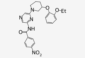 CCOc1ccccc1OC1CCCN(c2cncc(NC(=O)c3ccc([N+](=O)[O-])cc3)n2)C1